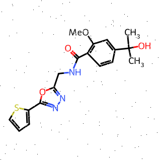 COc1cc(C(C)(C)O)ccc1C(=O)NCc1nnc(-c2cccs2)o1